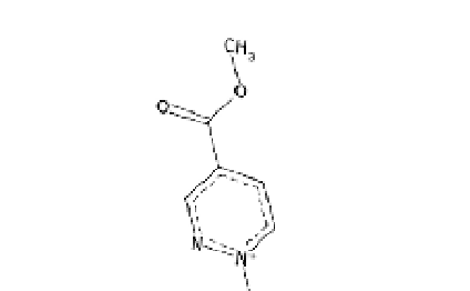 COC(=O)c1cc[n+](C)nc1